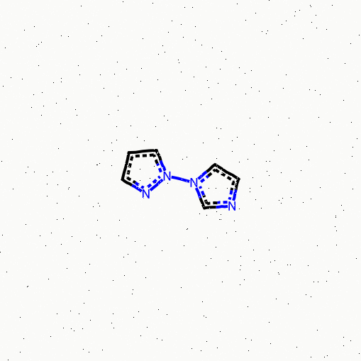 c1cnn(-n2ccnc2)c1